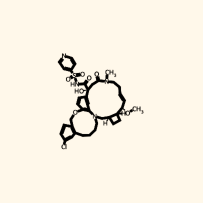 CO[C@H]1/C=C/CCN(C)C(=O)C[C@](O)(C(=O)NS(=O)(=O)c2ccncc2)c2ccc3c(c2)N(CCCCc2cc(Cl)ccc2CO3)C[C@@H]2CC[C@H]21